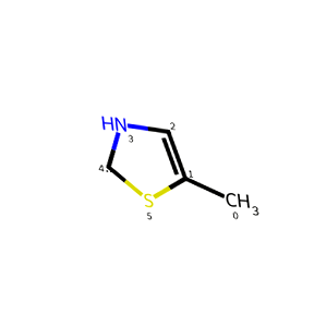 CC1=CN[C]S1